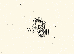 Cc1ccc(C(N)=O)cc1[AsH]c1nc(NC2CCNC2)nc(-c2cccc(Cl)c2)n1